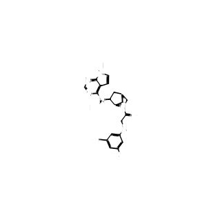 CN(c1ncnc2[nH]ccc12)C1CC2CC1N(C(=O)CNc1cc(Cl)cc(Cl)c1)C2